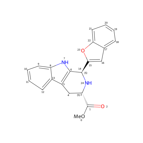 COC(=O)[C@@H]1Cc2c([nH]c3ccccc23)[C@@H](c2cc3ccccc3o2)N1